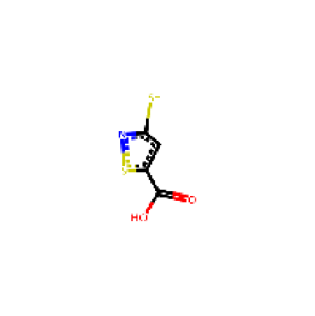 O=C(O)c1cc(S)ns1